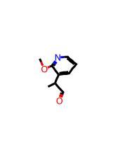 COc1ncccc1C(C)C=O